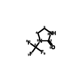 O=C1NCCN1C(F)(F)F